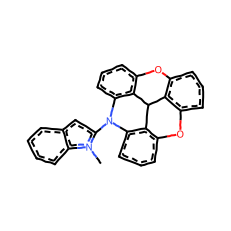 Cn1c(N2c3cccc4c3C3c5c(cccc5Oc5cccc2c53)O4)cc2ccccc21